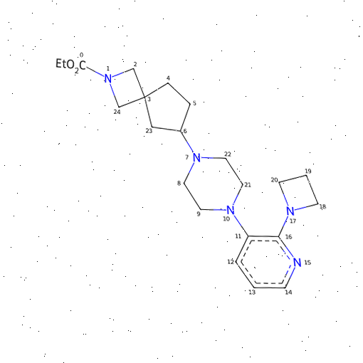 CCOC(=O)N1CC2(CCC(N3CCN(c4cccnc4N4CCC4)CC3)C2)C1